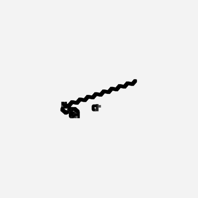 CCCCCCCCCCCCCCCCCC1=NCC[N+]1(O)CC.[Cl-]